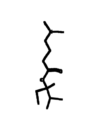 CCC(C)(OC(=O)CCCN(C)C)C(C)C